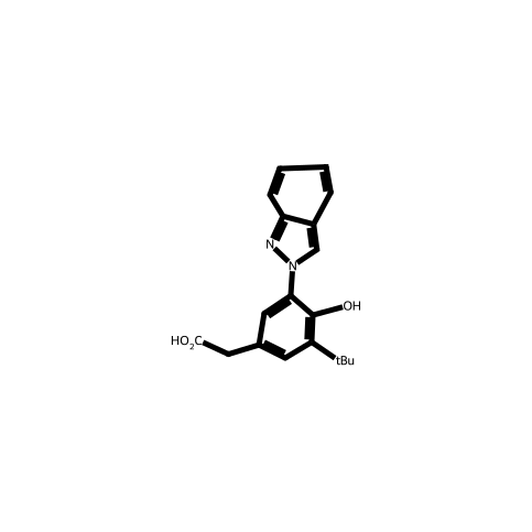 CC(C)(C)c1cc(CC(=O)O)cc(-n2cc3ccccc3n2)c1O